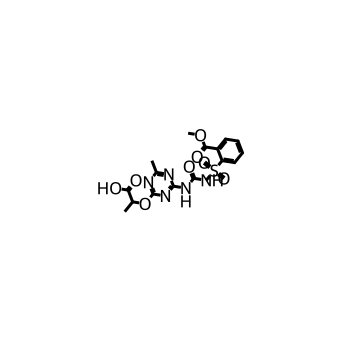 COC(=O)c1ccccc1S(=O)(=O)NC(=O)Nc1nc(C)nc(OC(C)C(=O)O)n1